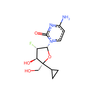 Nc1ccn([C@@H]2O[C@@](CO)(C3CC3)[C@@H](O)[C@@H]2F)c(=O)n1